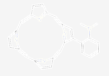 CN(C)c1ccccc1C1=CC2=CC3=NC(=CC4=NC(=CC5=NC(=CC1=N2)C=C5)C=C4)C=C3